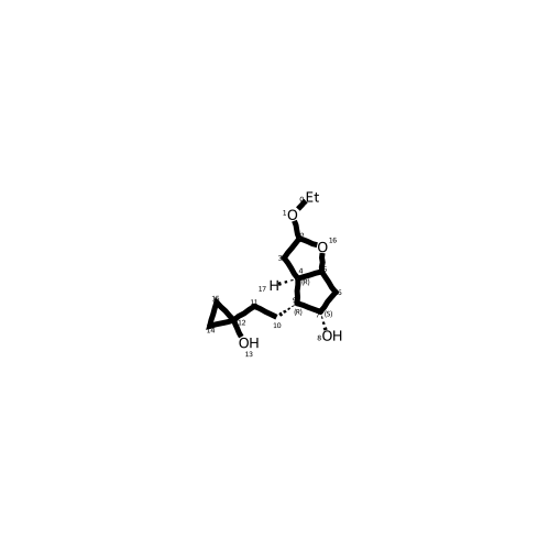 CCOC1C[C@H]2C(C[C@H](O)[C@@H]2CCC2(O)CC2)O1